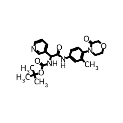 Cc1cc(NC(=O)C(NC(=O)OC(C)(C)C)c2cccnc2)ccc1N1CCOCC1=O